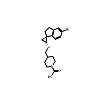 O=C(O)N1CCC(CN[C@@H]2C[C@]23CCc2cc(Br)ccc23)CC1